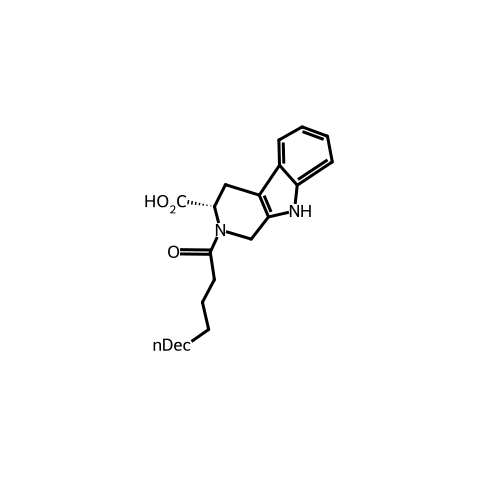 CCCCCCCCCCCCCC(=O)N1Cc2[nH]c3ccccc3c2C[C@H]1C(=O)O